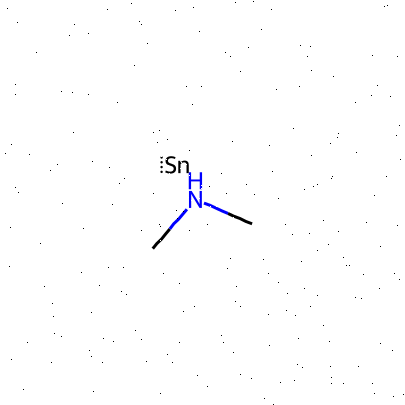 CNC.[Sn]